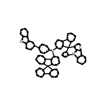 c1ccc2c(c1)-c1ccccc1C21c2ccccc2-c2c(N(c3ccc(-c4ccc5oc6ccccc6c5c4)cc3)c3ccc4c(c3)C3(c5ccccc5-4)c4ccccc4-n4c5ccccc5c5cccc3c54)cccc21